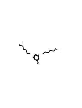 CCCCCCCOc1cc(C=O)cc(OCCCCCCC)c1